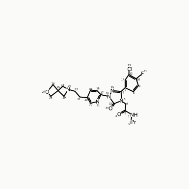 CC(C)NC(=O)Cn1c(-c2ccc(F)c(Cl)c2)nn(-c2ccc(CCN3CC4(COC4)C3)cn2)c1=O